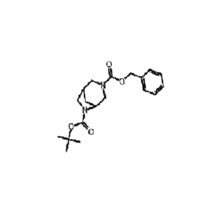 CC(C)(C)OC(=O)N1CC2CC1CN(C(=O)OCc1ccccc1)C2